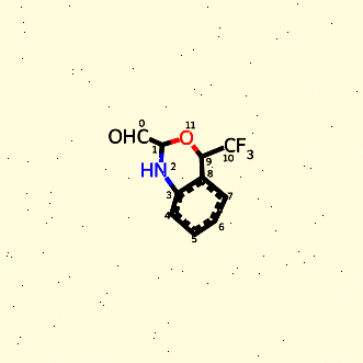 O=CC1Nc2ccccc2C(C(F)(F)F)O1